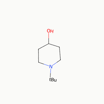 CC(C)(C)N1CCC(O)CC1